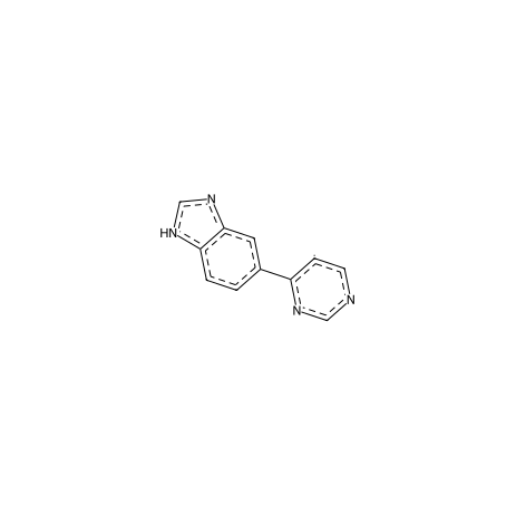 [c]1cncnc1-c1ccc2[nH]cnc2c1